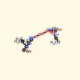 CCCOc1ccccc1-c1cnc(-c2cnc(-c3ccc(NCCOCCOCCOCCOCCC(=O)N[C@H](C(=O)N4C[C@H](O)C[C@H]4C(=O)NCc4ccc(-c5scnc5C)cc4)C(C)(C)C)nc3)c(C)c2)c(/C=C/c2ccc(C)c(C)c2)c1